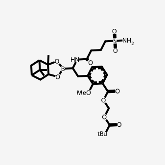 COc1c(CC(NC(=O)CCCS(N)(=O)=O)B2OC3CC4CC(C4(C)C)C3(C)O2)cccc1C(=O)OCOC(=O)C(C)(C)C